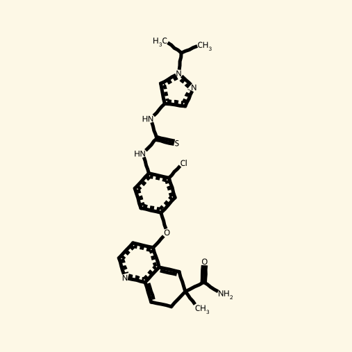 CC(C)n1cc(NC(=S)Nc2ccc(Oc3ccnc4c3=CC(C)(C(N)=O)CC=4)cc2Cl)cn1